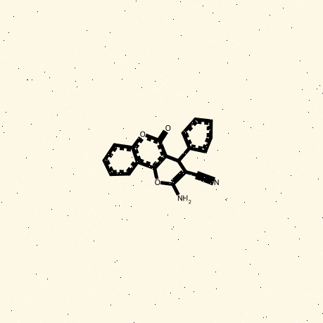 N#CC1=C(N)Oc2c(c(=O)oc3ccccc23)C1c1ccccc1